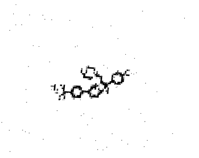 NC(=O)c1ccc(-c2ccc3nc(-c4ccc(Cl)cc4)c(CN4CCOCC4)n3c2)cc1